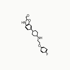 O=CC1Nc2ccc(C3CCC(NCCOc4ccc(F)cc4)CC3)cc2O1